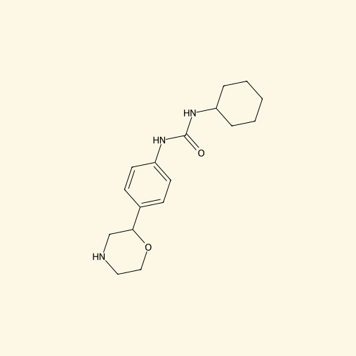 O=C(Nc1ccc(C2CNCCO2)cc1)NC1CCCCC1